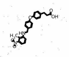 Cc1c(NCc2ccc(Oc3ccc(CCC(=O)O)cc3)cc2)cccc1[N+](=O)[O-]